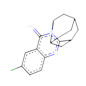 N=c1c2cc(Cl)ccc2nc2n1C1CC3CC(CC2C3)C1